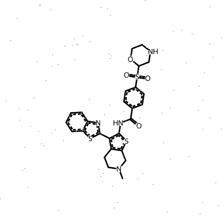 CN1CCc2c(sc(NC(=O)c3ccc(S(=O)(=O)C4CNCCO4)cc3)c2-c2nc3ccccc3s2)C1